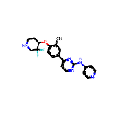 N#Cc1cc(-c2ccnc(Nc3ccncc3)n2)ccc1OC1CCNCC1(F)F